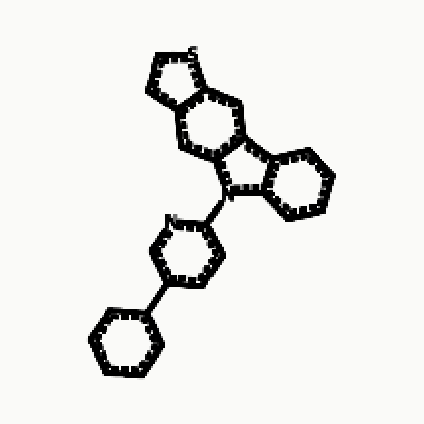 c1ccc(-c2ccc(-n3c4ccccc4c4cc5sccc5cc43)nc2)cc1